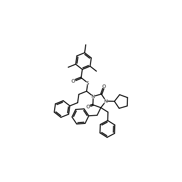 Cc1cc(C)c(C(=O)SC(CCc2ccccc2)N2C(=O)N(C3CCCC3)C(Cc3ccccc3)(Cc3ccccc3)C2=O)c(C)c1